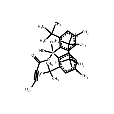 CC#CC(=O)OP(O)(O)(c1c(C(C)(C)C)cc(C)cc1C(C)(C)C)c1c(C(C)(C)C)cc(C)cc1C(C)(C)C